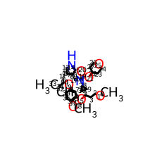 COCCCOc1cc(O[C@H](C[C@@H]2CNC[C@H]2CN(C(=O)OC2CCOCC2)C2CC2)C(C)C)ccc1OC